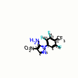 Nc1c([N+](=O)[O-])cnn1-c1cc(F)c(C(F)(F)F)c(F)c1F